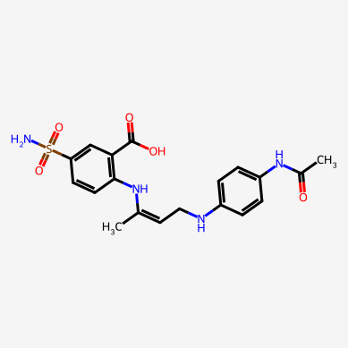 CC(=O)Nc1ccc(NC/C=C(/C)Nc2ccc(S(N)(=O)=O)cc2C(=O)O)cc1